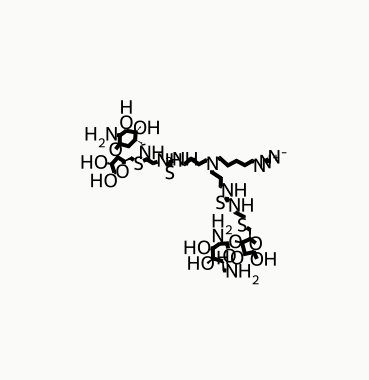 [N-]=[N+]=NCCCCCN(CCCCNC(=S)NCCSC[C@H]1OC(O)[C@@H](O)[C@H]1OC1C[C@@H](CN)[C@@H](O)C(O)C1N)CCCNC(=S)NCCSC[C@H]1OC(O)[C@@H](O)[C@H]1OC1O[C@@H](CN)[C@@H](O)C(O)C1N